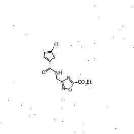 CCOC(=O)c1nc(CNC(=O)c2ccc(Cl)s2)no1